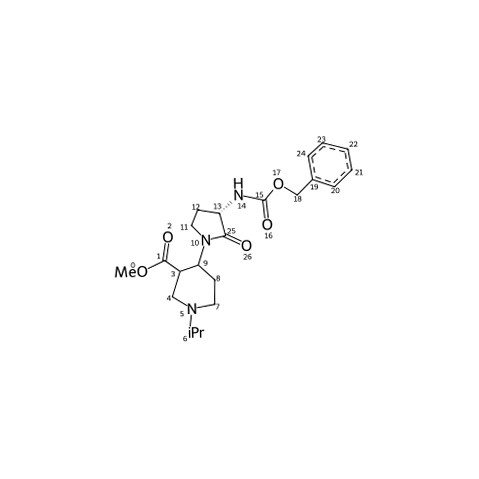 COC(=O)C1CN(C(C)C)CCC1N1CC[C@H](NC(=O)OCc2ccccc2)C1=O